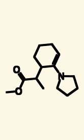 COC(=O)C(C)C1CCCC=C1N1CCCC1